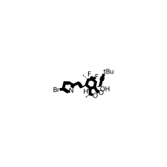 C[C@H]1OC(=O)[C@]2(C(O)C#CC(C)(C)C)CC(F)(F)[C@@H](C)[C@H](/C=C/c3ccc(Br)cn3)[C@H]12